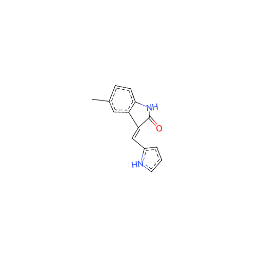 Cc1ccc2c(c1)C(=Cc1ccc[nH]1)C(=O)N2